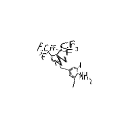 Nc1c(I)cc(Cn2cc(C(F)(F)C(F)(F)F)c(C(F)(F)C(F)(F)F)n2)cc1I